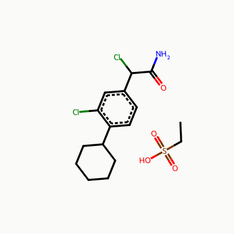 CCS(=O)(=O)O.NC(=O)C(Cl)c1ccc(C2CCCCC2)c(Cl)c1